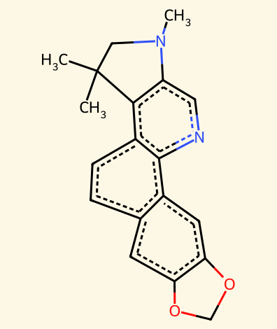 CN1CC(C)(C)c2c1cnc1c2ccc2cc3c(cc21)OCO3